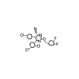 N#Cc1nc(OCc2ccc(F)c(F)c2)nc(-c2ccc(Cl)cc2Cl)c1-c1ccc(Cl)cc1